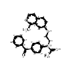 Nc1nccc2ccc(OCCN(C(=O)C(F)(F)F)c3ccc(C(=O)c4ccccc4)cc3)cc12